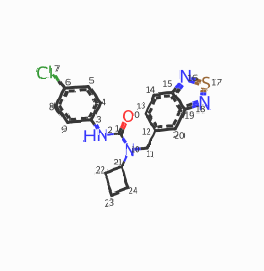 O=C(Nc1ccc(Cl)cc1)N(Cc1ccc2nsnc2c1)C1CCC1